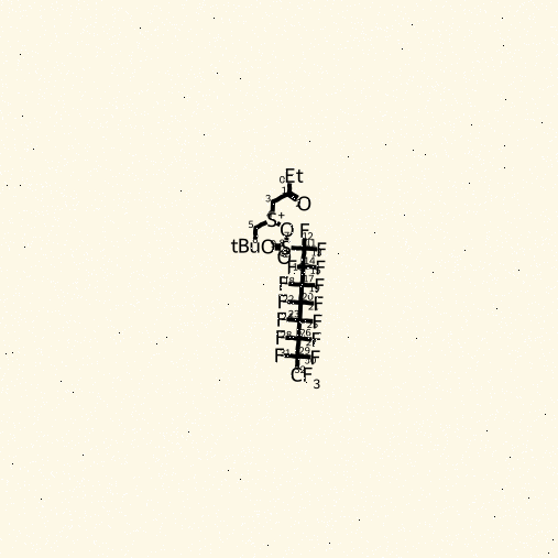 CCC(=O)C[S+](CC(C)(C)C)OS(=O)(=O)C(F)(F)C(F)(F)C(F)(F)C(F)(F)C(F)(F)C(F)(F)C(F)(F)C(F)(F)F